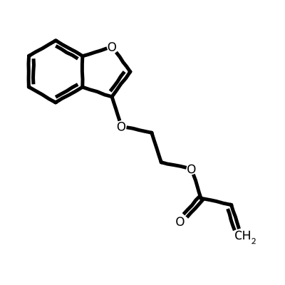 C=CC(=O)OCCOc1coc2ccccc12